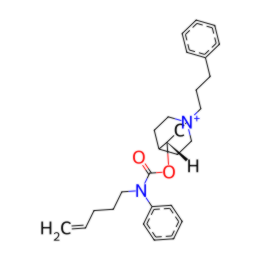 C=CCCCN(C(=O)O[C@H]1C[N+]2(CCCc3ccccc3)CCC1CC2)c1ccccc1